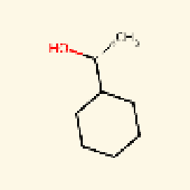 C[C@@H](O)C1CCCCC1